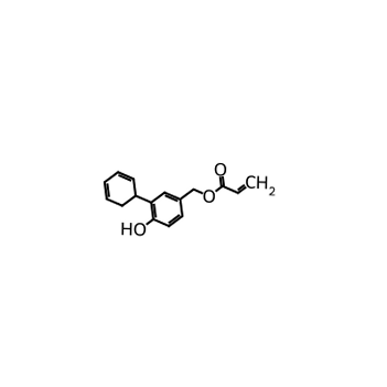 C=CC(=O)OCc1ccc(O)c(C2C=CC=CC2)c1